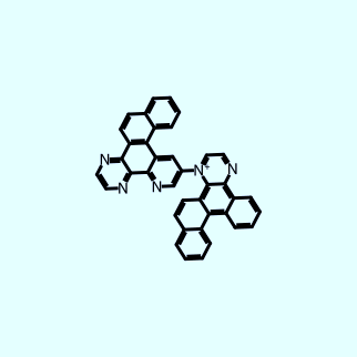 c1ccc2c(c1)ccc1c3nccnc3c3ncc(-[n+]4ccnc5c6ccccc6c6c7ccccc7ccc6c54)cc3c21